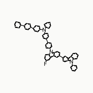 Fc1ccc2c(c1)c1cc(-c3ccc4c(c3)c3ccccc3n4-c3ccccc3)ccc1n2-c1ccc(-c2ccc(N(c3ccccc3)c3ccc(-c4ccc(-c5ccccc5)cc4)cc3)cc2)cc1